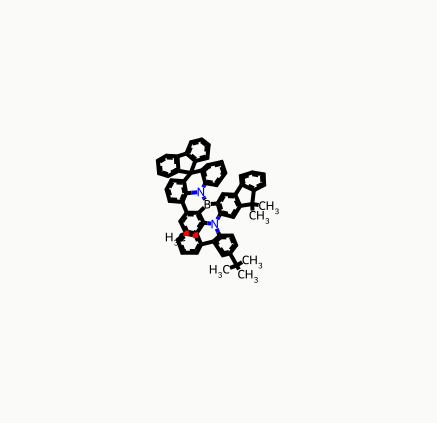 Cc1cc2c3c(c1)N(c1ccc(C(C)(C)C)cc1-c1ccccc1)c1cc4c(cc1B3N1c3ccccc3C3(c5ccccc5-c5ccccc53)c3cccc-2c31)-c1ccccc1C4(C)C